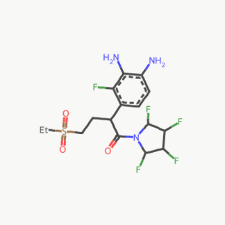 CCS(=O)(=O)CCC(C(=O)N1C(F)C(F)C(F)C1F)c1ccc(N)c(N)c1F